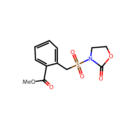 COC(=O)c1ccccc1CS(=O)(=O)N1CCOC1=O